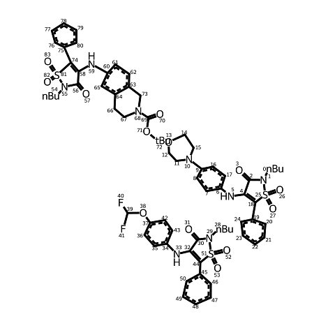 CCCCN1C(=O)C(Nc2ccc(N3CCOCC3)cc2)=C(c2ccccc2)S1(=O)=O.CCCCN1C(=O)C(Nc2ccc(OC(F)F)cc2)=C(c2ccccc2)S1(=O)=O.CCCCN1C(=O)C(Nc2ccc3c(c2)CCN(C(=O)OC(C)(C)C)C3)=C(c2ccccc2)S1(=O)=O